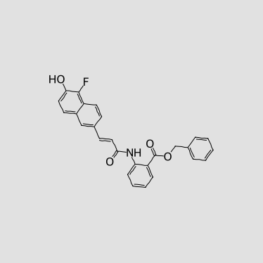 O=C(/C=C/c1ccc2c(F)c(O)ccc2c1)Nc1ccccc1C(=O)OCc1ccccc1